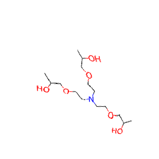 CC(O)COCCN(CCOCC(C)O)CCOCC(C)O